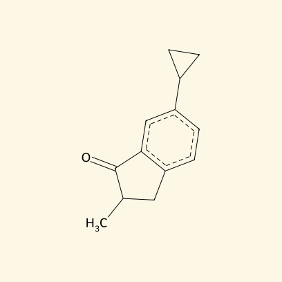 CC1Cc2ccc(C3CC3)cc2C1=O